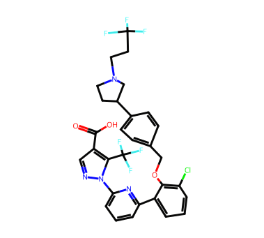 O=C(O)c1cnn(-c2cccc(-c3cccc(Cl)c3OCc3ccc(C4CCN(CCC(F)(F)F)C4)cc3)n2)c1C(F)(F)F